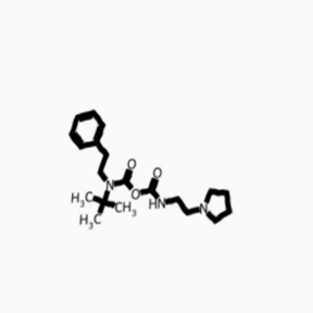 CC(C)(C)N(CCc1ccccc1)C(=O)OC(=O)NCCN1CCCC1